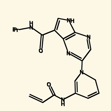 C=CC(=O)NC1=CN(c2cnc3[nH]cc(C(=O)NC(C)C)c3n2)CC=C1